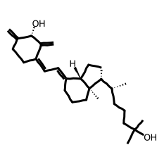 C=C1CC/C(=C/C=C2\CCC[C@]3(C)[C@@H]([C@H](C)CCCC(C)(C)O)CC[C@@H]23)C(=C)[C@H]1O